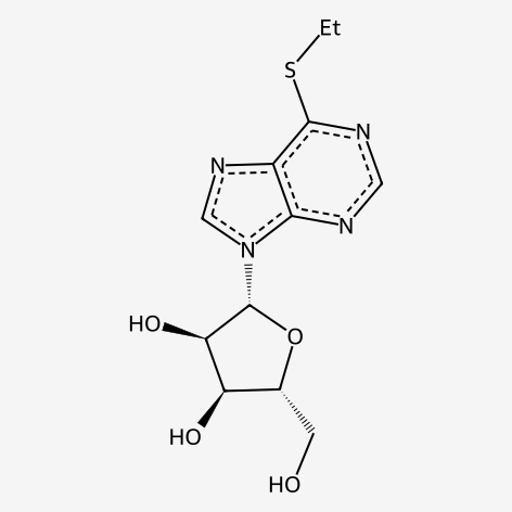 CCSc1ncnc2c1ncn2[C@@H]1O[C@H](CO)[C@@H](O)[C@H]1O